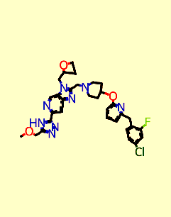 COCc1nnc(-c2cc3nc(CN4CCC(Oc5cccc(Cc6ccc(Cl)cc6F)n5)CC4)n(CC4CCO4)c3cn2)[nH]1